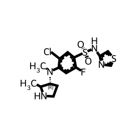 CC1NCC[C@H]1N(C)c1cc(F)c(S(=O)(=O)Nc2cscn2)cc1Cl